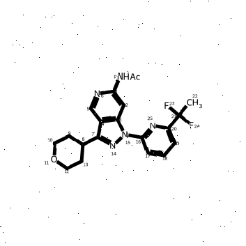 CC(=O)Nc1cc2c(cn1)c(C1CCOCC1)nn2-c1cccc(C(C)(F)F)n1